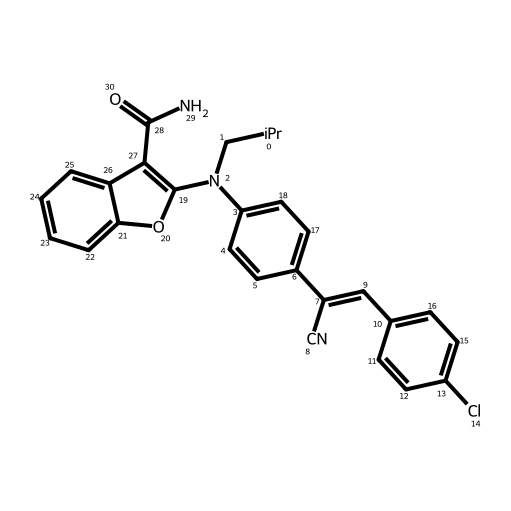 CC(C)CN(c1ccc(/C(C#N)=C/c2ccc(Cl)cc2)cc1)c1oc2ccccc2c1C(N)=O